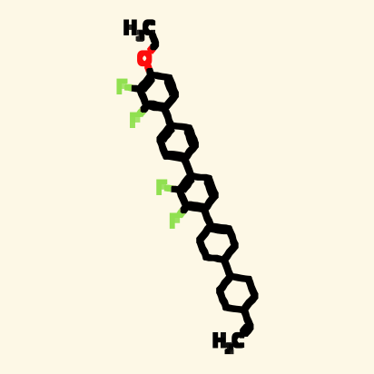 C=CC1CCC(C2CC=C(c3ccc(-c4ccc(-c5ccc(OCC)c(F)c5F)cc4)c(F)c3F)CC2)CC1